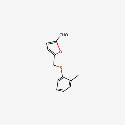 Cc1ccccc1SCc1ccc(C=O)o1